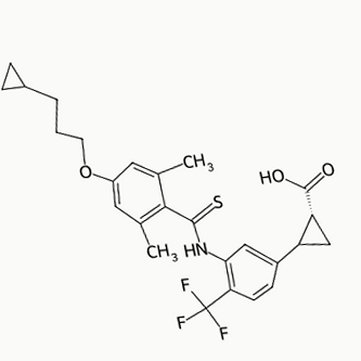 Cc1cc(OCCCC2CC2)cc(C)c1C(=S)Nc1cc(C2C[C@H]2C(=O)O)ccc1C(F)(F)F